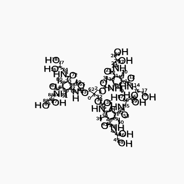 CC(COC(=O)Nc1c(I)c(C(=O)NCC(O)CO)c(I)c(C(=O)NCC(O)CO)c1I)(COC(=O)Nc1c(I)c(C(=O)NCC(O)CO)c(I)c(C(=O)NCC(O)CO)c1I)COC(=O)Nc1c(I)c(C(=O)NCC(O)CO)c(I)c(C(=O)NCC(O)CO)c1I